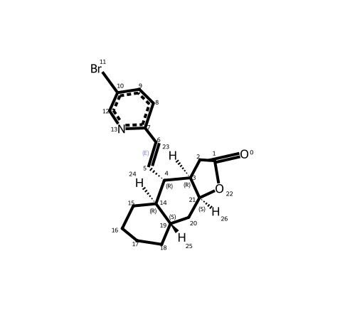 O=C1C[C@@H]2[C@@H](/C=C/c3ccc(Br)cn3)[C@@H]3CCCC[C@H]3C[C@@H]2O1